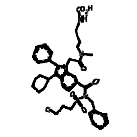 CN(CCCNC(=O)O)C(=O)Cn1c(-c2ccccc2)c(C2CCCCC2)c2ccc(C(=O)N(Cc3ccccc3)S(=O)(=O)CCCCl)cc21